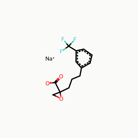 O=C([O-])C1(CCCc2cccc(C(F)(F)F)c2)CO1.[Na+]